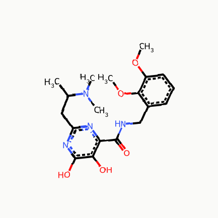 COc1cccc(CNC(=O)c2nc(CC(C)N(C)C)nc(O)c2O)c1OC